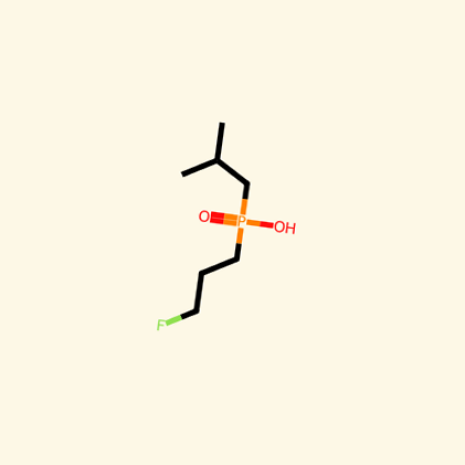 CC(C)CP(=O)(O)CCCF